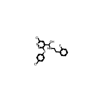 OC(NCCc1ccccc1F)c1cc(Cl)nnc1Sc1ccc(Cl)cc1